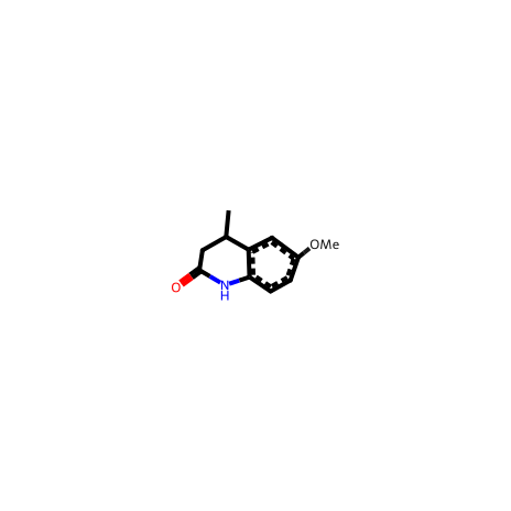 COc1ccc2c(c1)C(C)CC(=O)N2